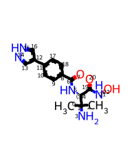 CC(C)(N)[C@H](NC(=O)c1ccc(-c2cn[nH]c2)cc1)C(=O)NO